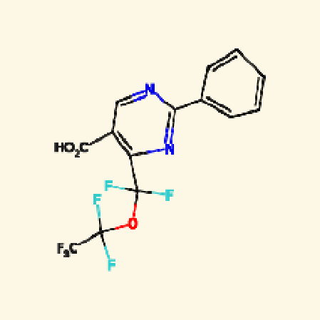 O=C(O)c1cnc(-c2ccccc2)nc1C(F)(F)OC(F)(F)C(F)(F)F